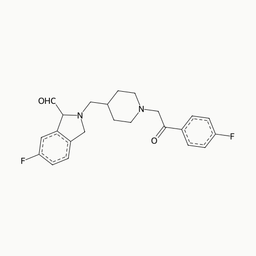 O=CC1c2cc(F)ccc2CN1CC1CCN(CC(=O)c2ccc(F)cc2)CC1